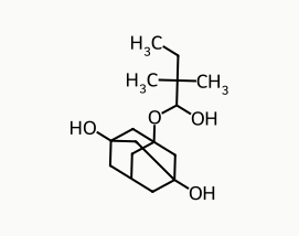 CCC(C)(C)C(O)OC12CC3CC(O)(CC(O)(C3)C1)C2